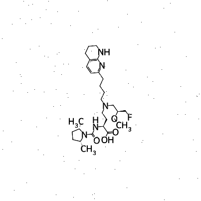 CO[C@H](CF)CN(CCCCc1ccc2c(n1)NCCC2)CC[C@H](NC(=O)N1[C@H](C)CC[C@@H]1C)C(=O)O